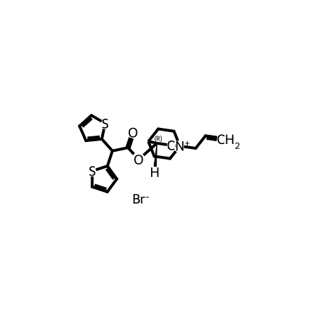 C=CC[N+]12CCC(CC1)[C@@H](OC(=O)C(c1cccs1)c1cccs1)C2.[Br-]